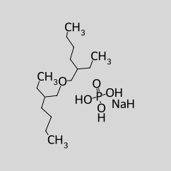 CCCCC(CC)COCC(CC)CCCC.O=P(O)(O)O.[NaH]